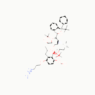 COCOc1ccc(OCCCN=[N+]=[N-])c(CCC[C@@H]2OC(C)(C)O[C@@H]2C(/C=C\[C@@H](C)C(C)O[Si](c2ccccc2)(c2ccccc2)C(C)(C)C)O[Si](C)(C)C(C)(C)C)c1C(=O)OCC[Si](C)(C)C